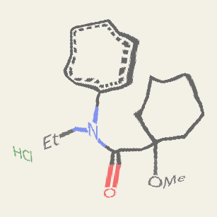 CCN(C(=O)C1(OC)CCCCC1)c1ccccc1.Cl